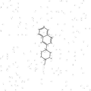 CN1CCN(c2cnc3ccccc3c2)CC1